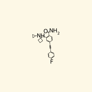 NC(=O)c1ccc(C#Cc2ccc(F)cc2)cc1CC1(NC2CC2)CCC1